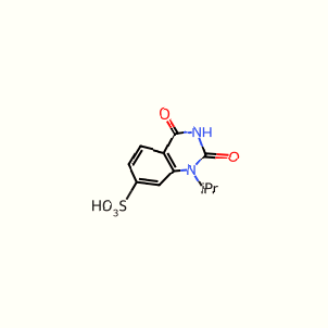 CC(C)n1c(=O)[nH]c(=O)c2ccc(S(=O)(=O)O)cc21